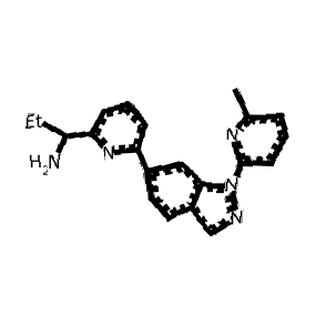 CCC(N)c1cccc(-c2ccc3cnn(-c4cccc(C)n4)c3c2)n1